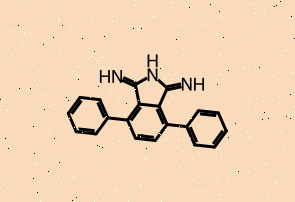 N=C1NC(=N)c2c(-c3ccccc3)ccc(-c3ccccc3)c21